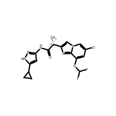 C[C@@H](C(=O)Nc1cc(C2CC2)[nH]n1)c1cn2cc(Cl)cc(OC(F)F)c2n1